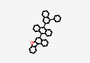 c1ccc(-c2cc(-c3c4ccccc4c(-c4cc5oc6ccccc6c5c5ccccc45)c4ccccc34)cc3ccccc23)cc1